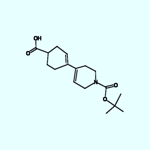 CC(C)(C)OC(=O)N1CC=C(C2=CCC(C(=O)O)CC2)CC1